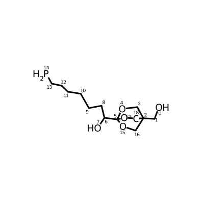 OCC12COC(C(O)CCCCCCP)(OC1)OC2